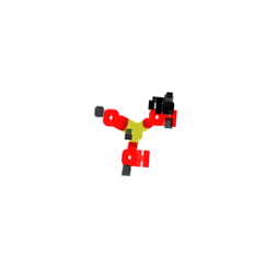 O=S(O)O.[Te]